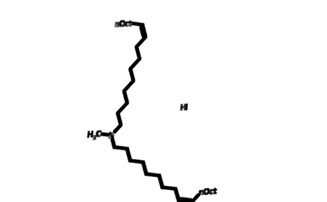 CCCCCCCC/C=C\CCCCCCCCN(C)CCCCCCCC/C=C\CCCCCCCC.I